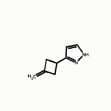 C=C1CC(c2cc[nH]n2)C1